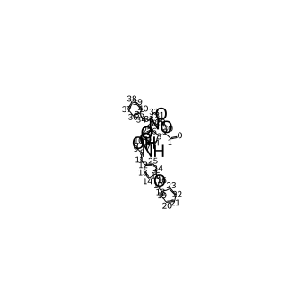 C=CC[C@H](CC(=O)N[C@H](CO)Cc1ccc(OCc2ccccc2)cc1)C(=O)N1C(=O)OC[C@@H]1Cc1ccccc1